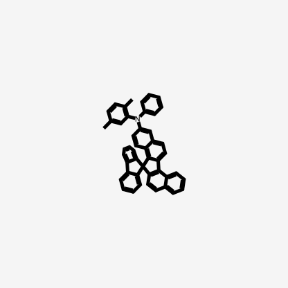 Cc1ccc(C)c(N(c2ccccc2)c2ccc3c4c(ccc3c2)-c2c(ccc3ccccc23)C42c3ccccc3-c3ccccc32)c1